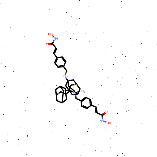 CN(Cc1ccc(/C=C/C(=O)NO)cc1)CC12CC3CC(C1)C(C14CC5CC(CC(NCc6ccc(/C=C/C(=O)NO)cc6)(C5)C1)C4)C(C3)C2